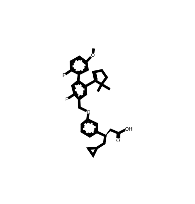 COc1ccc(F)c(-c2cc(F)c(COc3cccc([C@@H](CC(=O)O)CC4CC4)c3)cc2C2=CCCC2(C)C)c1